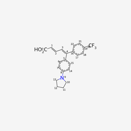 O=C(O)/C=C/C=C(\c1ccc(N2CCCC2)cc1)c1ccc(C(F)(F)F)cc1